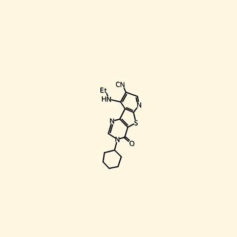 [C-]#[N+]c1cnc2sc3c(=O)n(C4CCCCC4)cnc3c2c1NCC